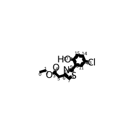 CCOC(=O)Cc1csc(-c2cc(Cl)ccc2O)n1